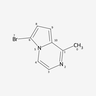 Cc1nccn2c(Br)ccc12